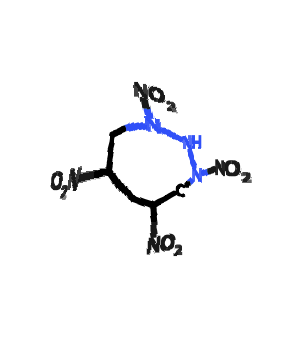 O=[N+]([O-])C1CC([N+](=O)[O-])CN([N+](=O)[O-])NN([N+](=O)[O-])C1